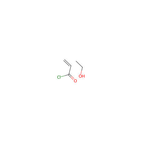 C=CC(=O)Cl.CCO